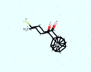 CCCC(=O)[C]12[CH]3[CH]4[CH]5[CH]1[Fe]45321678[CH]2[CH]1[CH]6[C]7(C(=O)CCCS)[CH]28